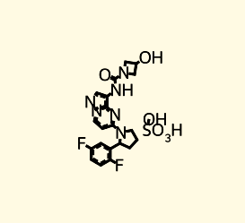 O=C(Nc1cnn2ccc(N3CCCC3c3cc(F)ccc3F)nc12)N1CC(O)C1.O=S(=O)(O)O